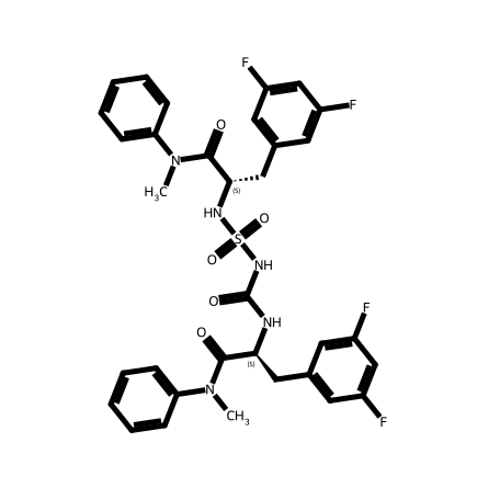 CN(C(=O)[C@H](Cc1cc(F)cc(F)c1)NC(=O)NS(=O)(=O)N[C@@H](Cc1cc(F)cc(F)c1)C(=O)N(C)c1ccccc1)c1ccccc1